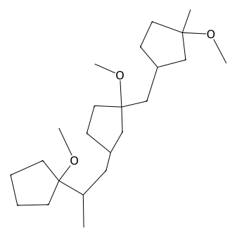 COC1(C)CCC(CC2(OC)CCC(CC(C)C3(OC)CCCC3)C2)C1